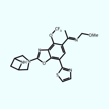 COC/N=C(\C)c1cc(-c2nccs2)c2oc(N3CC4CC(C3)N4)nc2c1OC(F)(F)F